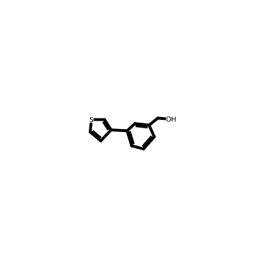 OCc1cccc(-c2ccsc2)c1